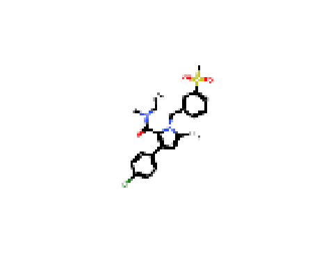 CN(CC(C)(C)C)C(=O)c1c(-c2ccc(Cl)cc2)cc(C(F)(F)F)n1Cc1cccc(S(C)(=O)=O)c1